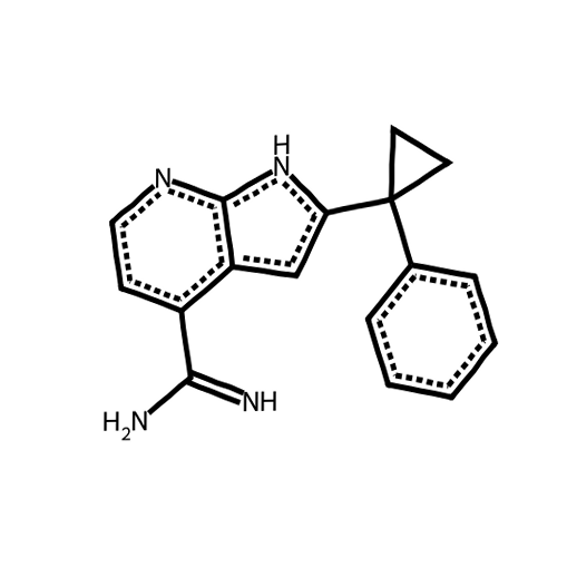 N=C(N)c1ccnc2[nH]c(C3(c4ccccc4)CC3)cc12